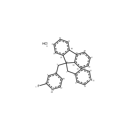 Cl.Fc1cc(CC2(Cc3ccncc3)c3ccccc3-c3ccccc32)ccn1